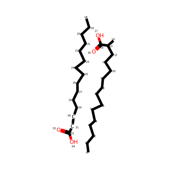 CCCCCCCCCCCCCC(C)C(=O)O.CCCCCCCCCCCCCCC(=O)O